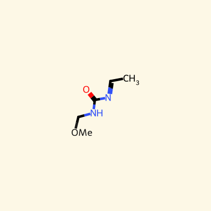 CC=NC(=O)NCOC